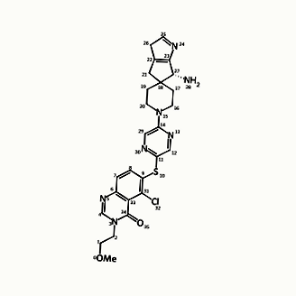 COCCn1cnc2ccc(Sc3cnc(N4CCC5(CC4)CC4=C(N=CC4)[C@@H]5N)cn3)c(Cl)c2c1=O